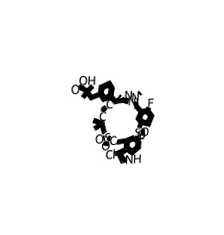 Cn1nc2nc1-c1cc(ccc1F)S(=O)(=O)c1c(F)cc3[nH]cc(Cl)c3c1CCS(=O)(=O)CC(C)(C)CCC[C@]2(C)c1cccc(CC(C)(C)C(=O)O)c1